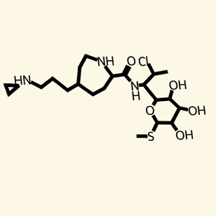 CSC1OC(C(NC(=O)C2CCC(CCCNC3CC3)CCN2)C(C)Cl)C(O)C(O)C1O